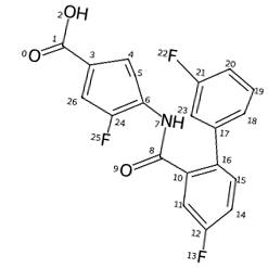 O=C(O)c1ccc(NC(=O)c2cc(F)ccc2-c2cccc(F)c2)c(F)c1